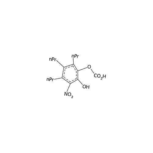 CCCc1c(CCC)c(OC(=O)O)c(O)c([N+](=O)[O-])c1CCC